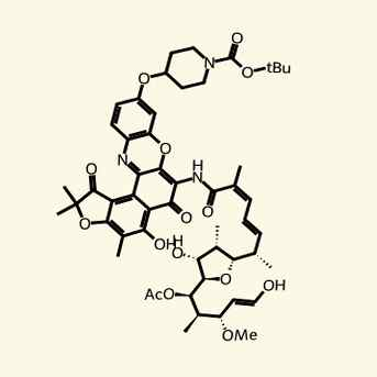 CO[C@@H](/C=C/O)[C@@H](C)[C@@H](OC(C)=O)[C@@H]1O[C@@H]([C@@H](C)/C=C/C=C(/C)C(=O)Nc2c3oc4cc(OC5CCN(C(=O)OC(C)(C)C)CC5)ccc4nc-3c3c4c(c(C)c(O)c3c2=O)OC(C)(C)C4=O)[C@@H](C)[C@H]1O